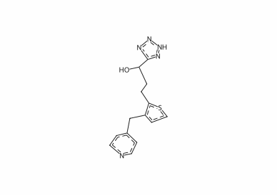 OC(CCc1sccc1Cc1ccncc1)c1nn[nH]n1